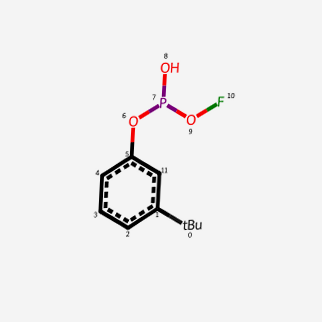 CC(C)(C)c1cccc(OP(O)OF)c1